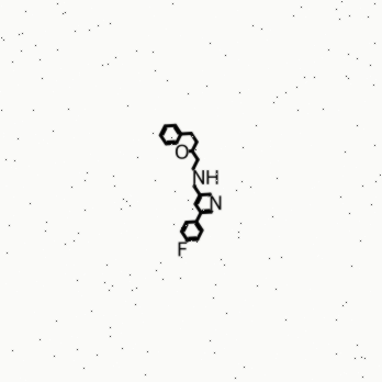 Fc1ccc(-c2cncc(CNCCC3CCc4ccccc4O3)c2)cc1